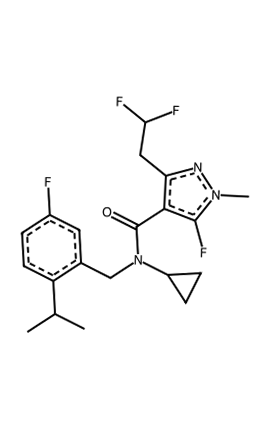 CC(C)c1ccc(F)cc1CN(C(=O)c1c(CC(F)F)nn(C)c1F)C1CC1